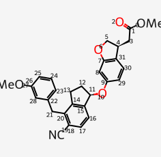 COC(=O)C[C@@H]1COc2cc(O[C@@H]3CCc4c3ccc(C#N)c4Cc3cccc(OC)c3)ccc21